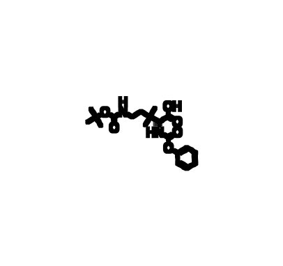 CC(C)(C)OC(=O)NCCC(C)(C)[C@@H](NC(=O)Oc1ccccc1)C(=O)O